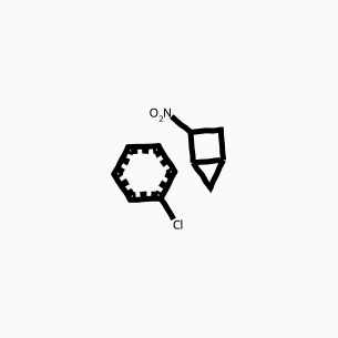 Clc1ccccc1.O=[N+]([O-])C1CC2CC21